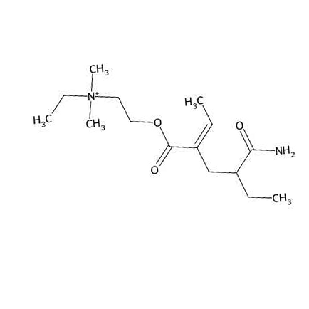 C/C=C(/CC(CC)C(N)=O)C(=O)OCC[N+](C)(C)CC